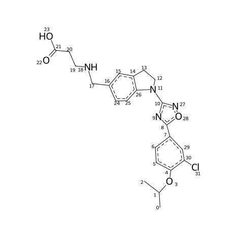 CC(C)Oc1ccc(-c2nc(N3CCc4cc(CNCCC(=O)O)ccc43)no2)cc1Cl